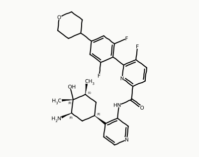 C[C@H]1C[C@@H](c2ccncc2NC(=O)c2ccc(F)c(-c3c(F)cc(C4CCOCC4)cc3F)n2)C[C@@H](N)[C@]1(C)O